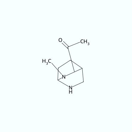 CC(=O)C1C2CCC(NC2)N1C